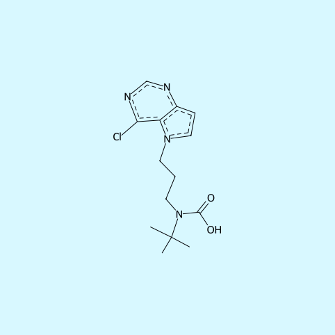 CC(C)(C)N(CCCn1ccc2ncnc(Cl)c21)C(=O)O